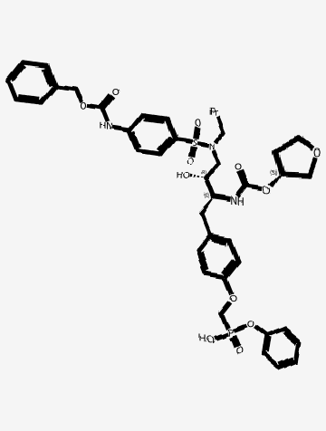 CC(C)CN(C[C@@H](O)[C@H](Cc1ccc(OCP(=O)(O)Oc2ccccc2)cc1)NC(=O)O[C@H]1CCOC1)S(=O)(=O)c1ccc(NC(=O)OCc2ccccc2)cc1